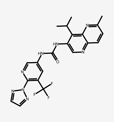 Cc1ccc2ncc(NC(=O)Nc3cnc(-n4nccn4)c(C(F)(F)F)c3)c(C(C)C)c2n1